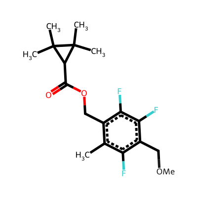 COCc1c(F)c(C)c(COC(=O)C2C(C)(C)C2(C)C)c(F)c1F